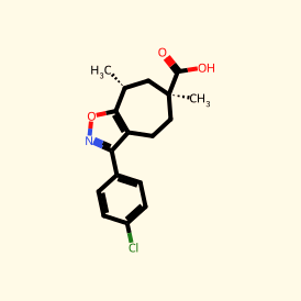 C[C@@H]1C[C@@](C)(C(=O)O)CCc2c(-c3ccc(Cl)cc3)noc21